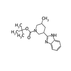 CC1CC(c2nc3ccccc3[nH]2)CN(C(=O)OC(C)(C)C)C1